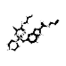 C=CCOC(=O)c1cc2cc(CP(=O)(NC(C)C(=O)OCCC)N3CCOCC3)ccc2s1